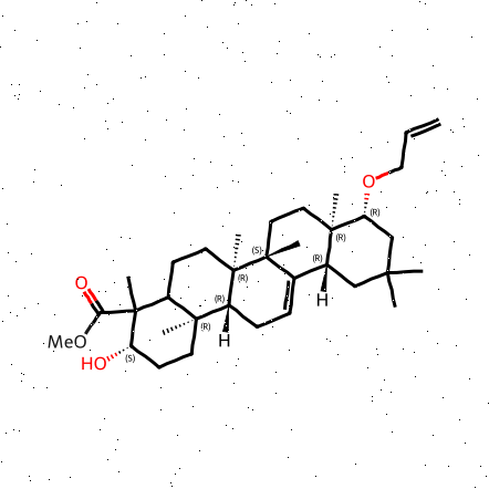 C=CCO[C@@H]1CC(C)(C)C[C@@H]2C3=CC[C@@H]4[C@@]5(C)CC[C@H](O)C(C)(C(=O)OC)C5CC[C@@]4(C)[C@]3(C)CC[C@]21C